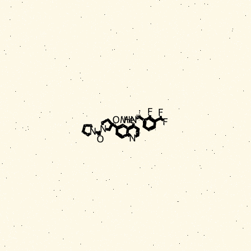 CO[C@@]1(c2ccc3nccc(N[C@H](C)c4cccc(C(F)F)c4F)c3c2)CCN(C(=O)N2CCCC2)C1